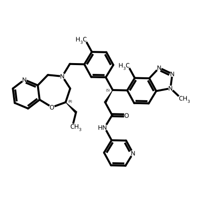 CC[C@@H]1CN(Cc2cc([C@H](CC(=O)Nc3cccnc3)c3ccc4c(nnn4C)c3C)ccc2C)Cc2ncccc2O1